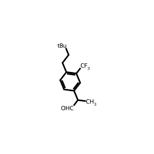 CC(C=O)c1ccc(CCC(C)(C)C)c(C(F)(F)F)c1